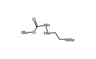 CNCCNNC(=O)OC(C)(C)C